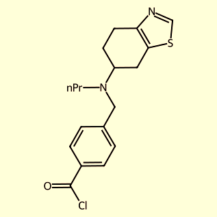 CCCN(Cc1ccc(C(=O)Cl)cc1)C1CCc2ncsc2C1